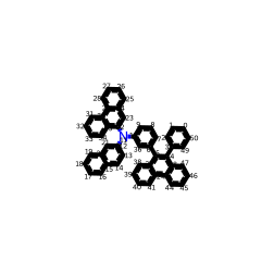 c1ccc(-c2c(-c3cccc(N(c4ccc5ccccc5c4)c4cc5ccccc5c5ccccc45)c3)c3ccccc3c3ccccc23)cc1